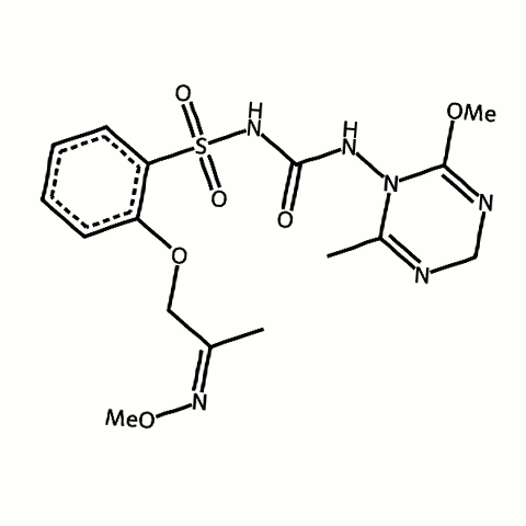 CO/N=C(/C)COc1ccccc1S(=O)(=O)NC(=O)NN1C(C)=NCN=C1OC